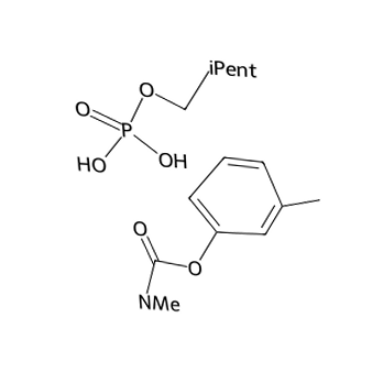 CCCC(C)COP(=O)(O)O.CNC(=O)Oc1cccc(C)c1